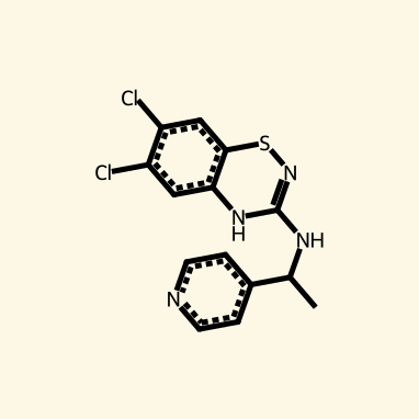 CC(NC1=NSc2cc(Cl)c(Cl)cc2N1)c1ccncc1